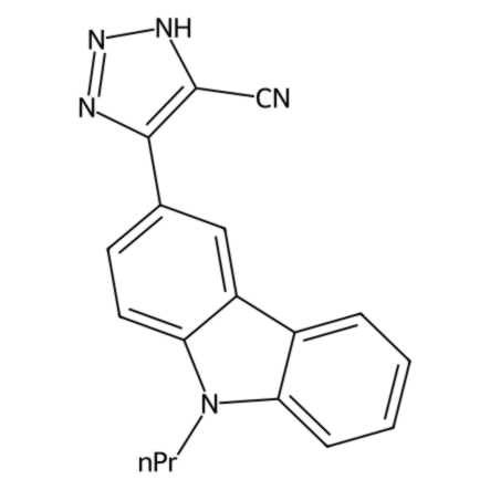 CCCn1c2ccccc2c2cc(-c3nn[nH]c3C#N)ccc21